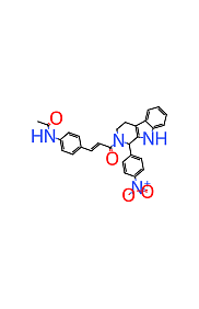 CC(=O)Nc1ccc(/C=C/C(=O)N2CCc3c([nH]c4ccccc34)C2c2ccc([N+](=O)[O-])cc2)cc1